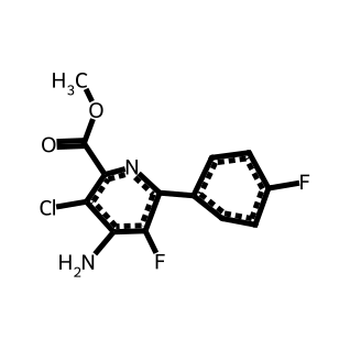 COC(=O)c1nc(-c2ccc(F)cc2)c(F)c(N)c1Cl